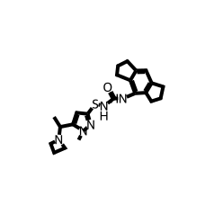 CC(c1cc(SNC(=O)Nc2c3c(cc4c2CCC4)CCC3)nn1C)N1CCC1